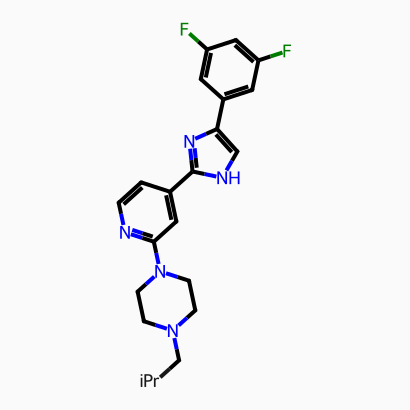 CC(C)CN1CCN(c2cc(-c3nc(-c4cc(F)cc(F)c4)c[nH]3)ccn2)CC1